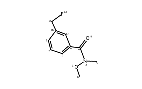 CON(C)C(=O)c1cccc(CF)c1